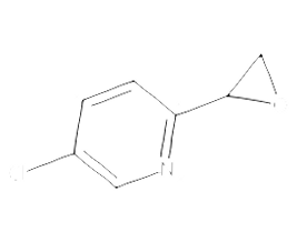 Clc1ccc(C2CO2)nc1